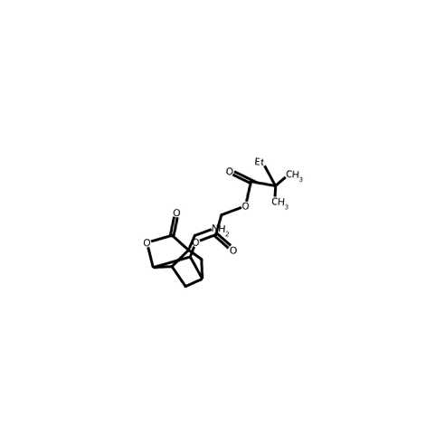 CCC(C)(C)C(=O)OCC(=O)OC1C2CC3C1OC(=O)C3(CN)C2